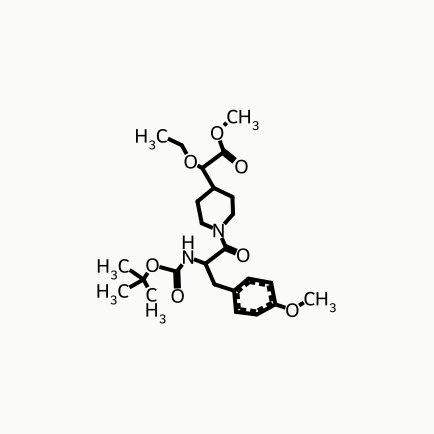 CCOC(C(=O)OC)C1CCN(C(=O)C(Cc2ccc(OC)cc2)NC(=O)OC(C)(C)C)CC1